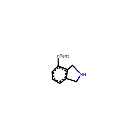 [CH2]CCCCc1cccc2c1CNC2